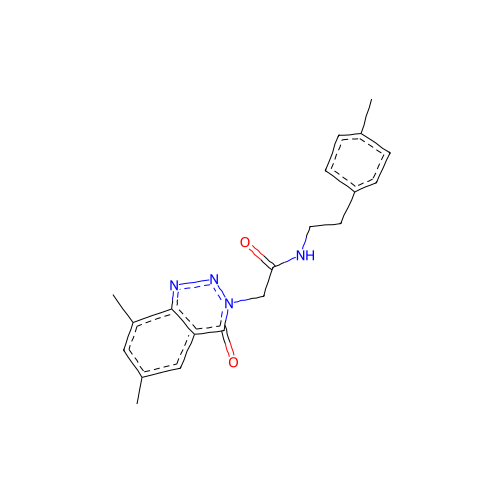 Cc1ccc(CCNC(=O)Cn2nnc3c(C)cc(C)cc3c2=O)cc1